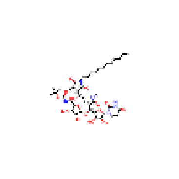 CCCCCCCCCCCCN1C(=O)C(C)[C@@H]([C@@H](O)CC[C@H](C(=O)NC)[C@H](OC2OC(CNC(=O)OC(C)(C)C)C(O)C2O)C2OC(n3ccc(=O)[nH]c3=O)C(O)C2O)C1=O